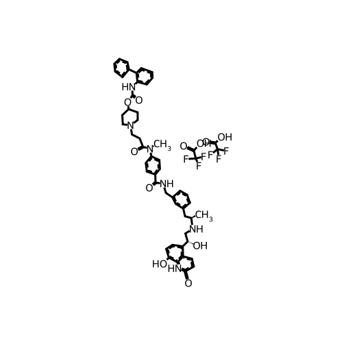 C[C@H](Cc1cccc(CNC(=O)c2ccc(N(C)C(=O)CCN3CCC(OC(=O)Nc4ccccc4-c4ccccc4)CC3)cc2)c1)NC[C@H](O)c1ccc(O)c2[nH]c(=O)ccc12.O=C(O)C(F)(F)F.O=C(O)C(F)(F)F